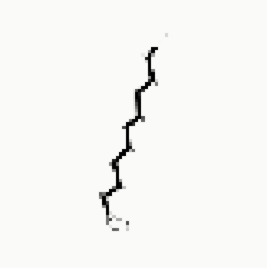 FCCCCCCCCCP